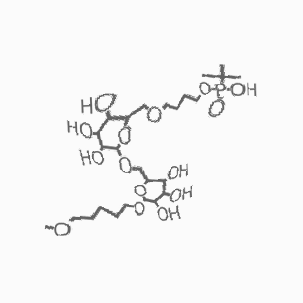 COCCCCCOC1OC(COC2OC(COCCCCOP(=O)(O)C(C)(C)C)C(O)C(O)C2O)C(O)C(O)C1O